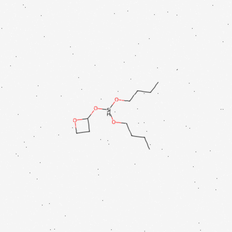 CCCCO[SiH](OCCCC)OC1CCO1